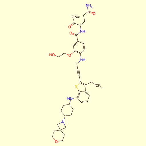 COC(=O)C(CCC(N)=O)NC(=O)c1ccc(NCC#Cc2sc3c(NC4CCC(N5CC6(CCOCC6)C5)CC4)cccc3c2CC(F)(F)F)c(OCCO)c1